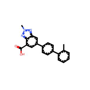 Cc1ccccc1-c1ccc(-c2cc(C(=O)O)c3nn(C)nc3c2)cc1